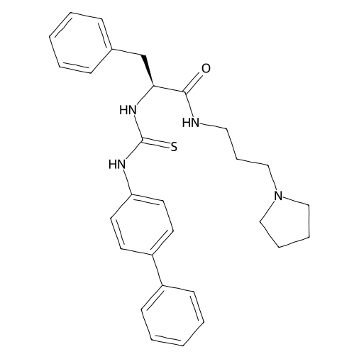 O=C(NCCCN1CCCC1)[C@H](Cc1ccccc1)NC(=S)Nc1ccc(-c2ccccc2)cc1